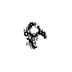 C=CC1C[C@]1(NC(=O)[C@@H]1C[C@@H]2CN1C(=O)[C@H](C1CCCCC1)NC(=O)O[C@@H]1CCC[C@H]1CCCCCc1nc3ccc(OC)cc3cc1O2)C(=O)NS(=O)(=O)C1CC1